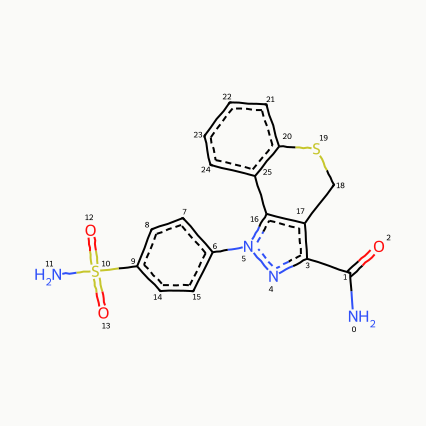 NC(=O)c1nn(-c2ccc(S(N)(=O)=O)cc2)c2c1CSc1ccccc1-2